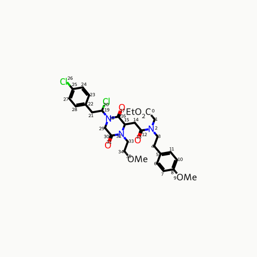 CCOC(=O)CN(CCc1ccc(OC)cc1)C(=O)CC1C(=O)N(C(Cl)Cc2ccc(Cl)cc2)CC(=O)N1CCOC